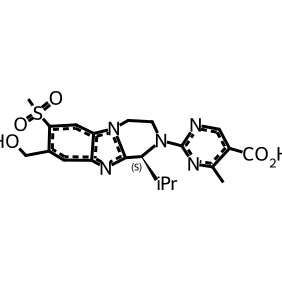 Cc1nc(N2CCn3c(nc4cc(CO)c(S(C)(=O)=O)cc43)[C@@H]2C(C)C)ncc1C(=O)O